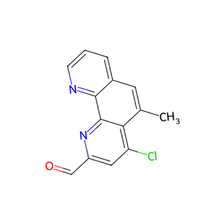 Cc1cc2cccnc2c2nc(C=O)cc(Cl)c12